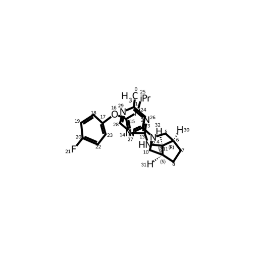 Cc1cc(N2C[C@H]3CC[C@@H](C2)[C@H]3Nc2nc(Oc3ccc(F)cc3)n(C(C)C)n2)ncn1